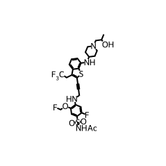 CC(=O)NS(=O)(=O)c1cc(OCF)c(NCC#Cc2sc3c(NC4CCN(CC(C)O)CC4)cccc3c2CC(F)(F)F)cc1F